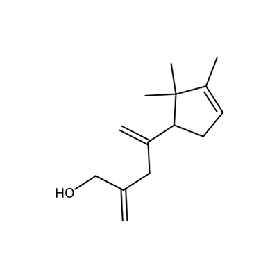 C=C(CO)CC(=C)C1CC=C(C)C1(C)C